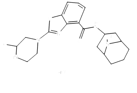 CC1CN(c2nc3c(C(=O)NC4CC5CCCC(C4)N5C)cccc3o2)CCN1.Cl